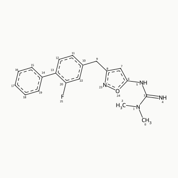 CN(C)C(=N)Nc1cc(Cc2ccc(-c3ccccc3)c(F)c2)no1